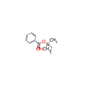 C[Si](C)(CI)O[SiH](O)c1ccccc1